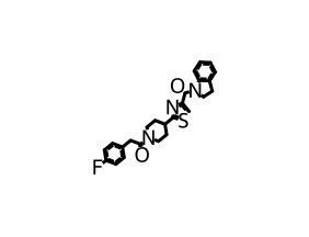 O=C(Cc1ccc(F)cc1)N1CCC(c2nc(C(=O)N3CCc4ccccc43)cs2)CC1